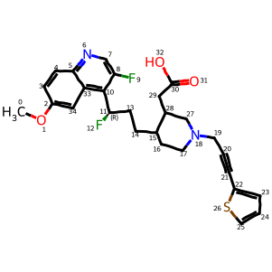 COc1ccc2ncc(F)c([C@H](F)CCC3CCN(CC#Cc4cccs4)CC3CC(=O)O)c2c1